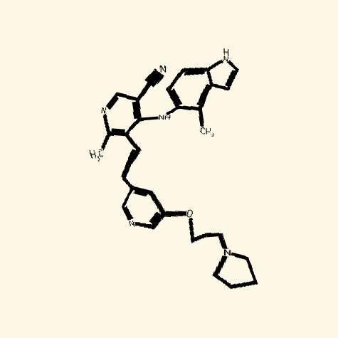 Cc1ncc(C#N)c(Nc2ccc3[nH]ccc3c2C)c1C=Cc1cncc(OCCN2CCCC2)c1